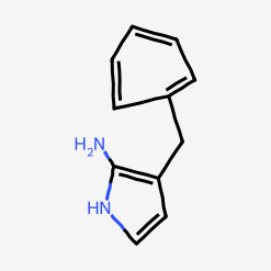 Nc1[nH]ccc1Cc1ccccc1